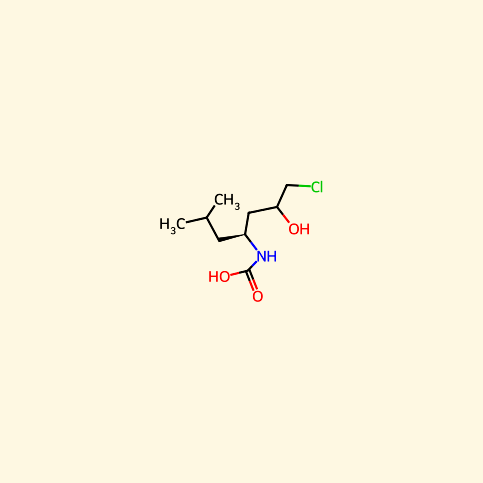 CC(C)C[C@@H](CC(O)CCl)NC(=O)O